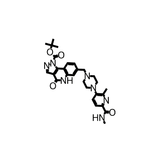 CNC(=O)c1ccc(N2CCN(Cc3ccc4c(c3)[nH]c(=O)c3cnn(C(=O)OC(C)(C)C)c34)CC2)c(C)n1